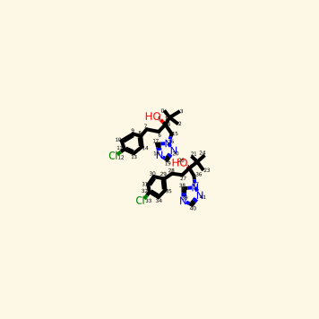 CC(C)(C)C(O)(CCc1ccc(Cl)cc1)Cn1cncn1.CC(C)(C)C(O)(CCc1ccc(Cl)cc1)Cn1cncn1